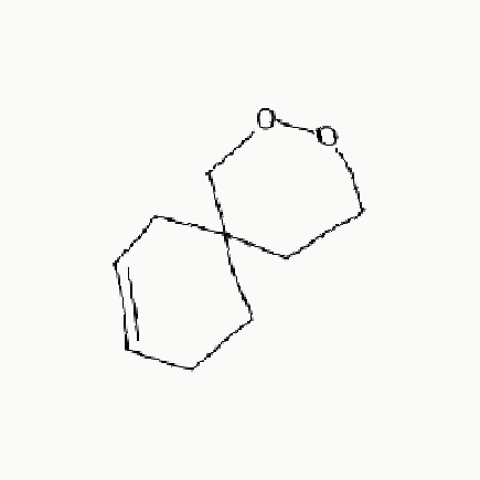 C1=CCC2(CC1)CCOOC2